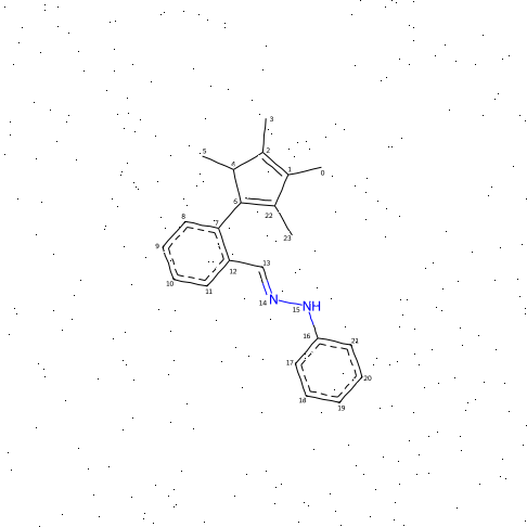 CC1=C(C)C(C)C(c2ccccc2C=NNc2ccccc2)=C1C